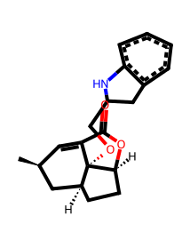 C[C@H]1C=C2C(=O)O[C@H]3CC[C@@H](C1)[C@@]23OCC1Cc2ccccc2N1